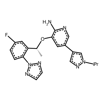 CC(C)n1cc(-c2cnc(N)c(O[C@H](C)c3cc(F)ccc3-n3nccn3)c2)cn1